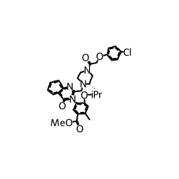 COC(=O)c1cc(-n2c(CN3CCN(C(=O)COc4ccc(Cl)cc4)C[C@@H]3C)nc3ccccc3c2=O)c(OC(C)C)cc1C